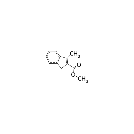 COC(=O)C1=C(C)c2ccccc2C1